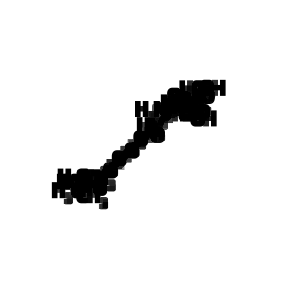 CC1(C)CC(C(=O)NCCOCCOCCOCCOCCC(=O)NCCCc2cn([C@@H]3O[C@H](COP(=O)(O)O)C(OP(=O)(O)O)[C@@H]3O)c(=O)nc2N)C(C)(C)N1O